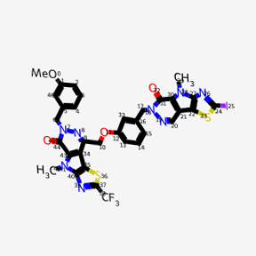 COc1cccc(Cn2nc(COc3cccc(Cn4ncc5c6sc(I)nc6n(C)c5c4=O)c3)c3c4sc(C(F)(F)F)nc4n(C)c3c2=O)c1